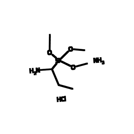 CCC(N)[Si](OC)(OC)OC.Cl.N